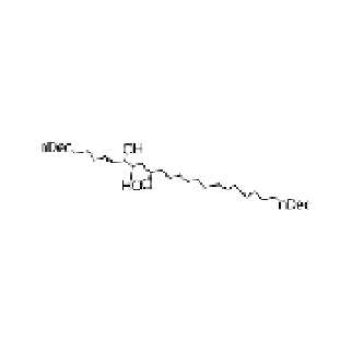 CCCCCCCCCCCCC/C=C/C(O)C(CO)CC(=O)CCCCCCCCCCCCCCCCCCCCCCC